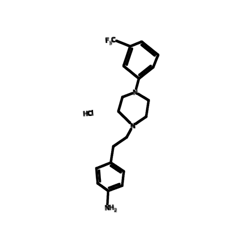 Cl.Nc1ccc(CCN2CCN(c3cccc(C(F)(F)F)c3)CC2)cc1